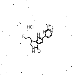 Cl.Nc1nccc(-c2cc3c([nH]2)C(CCF)CNC3=O)n1